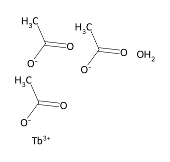 CC(=O)[O-].CC(=O)[O-].CC(=O)[O-].O.[Tb+3]